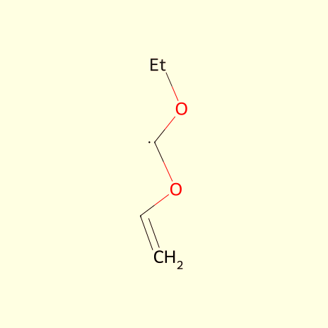 C=CO[CH]OCC